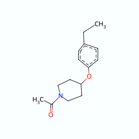 CCc1ccc(OC2CCN(C(C)=O)CC2)cc1